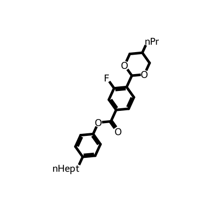 CCCCCCCc1ccc(OC(=O)c2ccc(C3OCC(CCC)CO3)c(F)c2)cc1